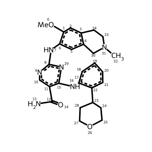 COc1cc2c(cc1Nc1ncc(C(N)=O)c(Nc3ccccc3C3CCOCC3)n1)CN(C)CC2